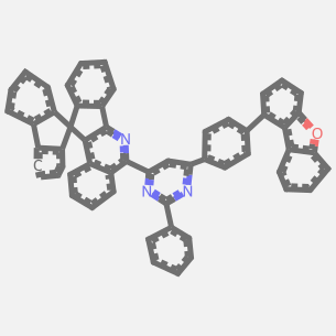 c1ccc(-c2nc(-c3ccc(-c4cccc5oc6ccccc6c45)cc3)cc(-c3nc4c(c5ccccc35)C3(c5ccccc5-c5ccccc53)c3ccccc3-4)n2)cc1